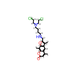 Cc1cc(=O)oc2c(C)c3oc(CNCCCCN(CCCl)CCCl)c(C)c3cc12